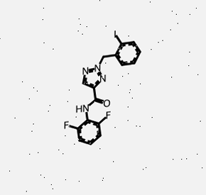 O=C(Nc1c(F)cccc1F)c1cnn(Cc2ccccc2I)n1